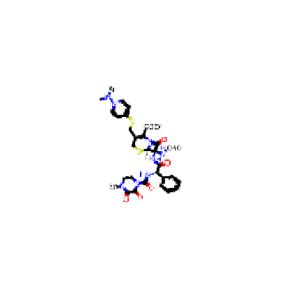 CCN1CCN(C(=O)N[C@@H](C(=O)N[C@]2(NC=O)C(=O)N3C(C(=O)[O-])=C(CSc4cc[n+](N(C)C(C)=O)cc4)CS[C@@H]32)c2ccccc2)C(=O)C1=O